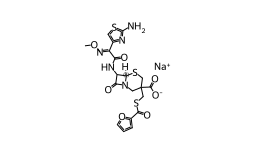 CON=C(C(=O)NC1C(=O)N2CC(CSC(=O)c3ccco3)(C(=O)[O-])CS[C@H]12)c1csc(N)n1.[Na+]